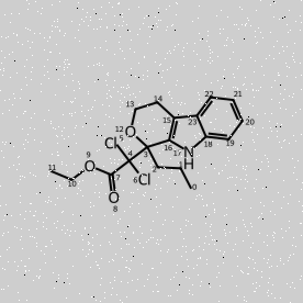 CCCC1(C(Cl)(Cl)C(=O)OCC)OCCc2c1[nH]c1ccccc21